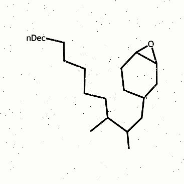 CCCCCCCCCCCCCCCC(C)C(C)C[C]1CCC2OC2C1